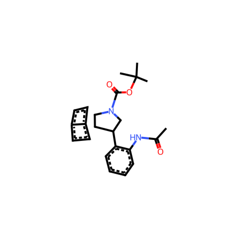 CC(=O)Nc1ccccc1C1CCN(C(=O)OC(C)(C)C)C1.c1cc2ccc1-2